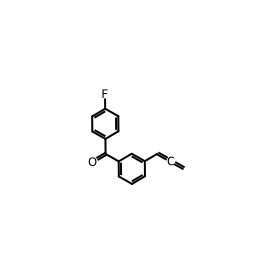 C=C=Cc1cccc(C(=O)c2ccc(F)cc2)c1